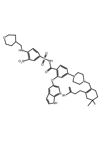 C=C(CCC1=C(CN2CCN(c3ccc(C(=O)NS(=O)(=O)c4ccc(NCC5CCOCC5)c([N+](=O)[O-])c4)c(Oc4cnc5[nH]ccc5c4)c3)CC2)CCC(C)(C)C1)C(C)C